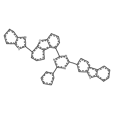 c1ccc(-c2nc(-c3ccc4c(c3)sc3ccccc34)nc(-c3cccc4oc5c(-c6nc7ccccc7s6)cccc5c34)n2)cc1